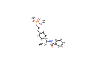 CCOP(=O)(CCCc1ccc(C(NC(=O)c2ccccc2)C(=O)O)cc1)OCC